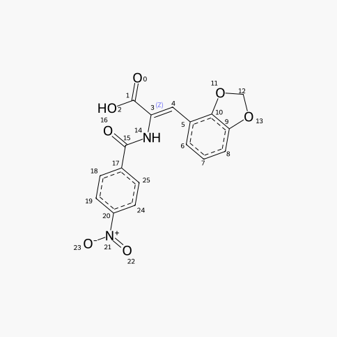 O=C(O)/C(=C/c1cccc2c1OCO2)NC(=O)c1ccc([N+](=O)[O-])cc1